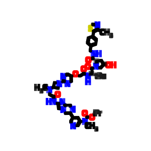 Cc1ncsc1-c1ccc(CNC(=O)[C@@H]2C[C@@H](O)CN2C(=O)[C@@H](NC(=O)COc2cnc(N3CC(N(C)CC(=O)Nc4cn5cc(-c6cncc(N(C)C(=O)OC(C)C)c6)ncc5n4)C3)nc2)C(C)(C)C)cc1